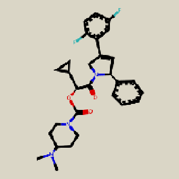 CN(C)C1CCN(C(=O)O[C@H](C(=O)N2CC(c3cc(F)ccc3F)=C[C@H]2c2ccccc2)C2CC2)CC1